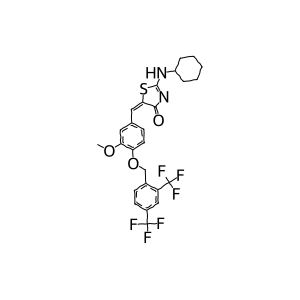 COc1cc(C=C2SC(NC3CCCCC3)=NC2=O)ccc1OCc1ccc(C(F)(F)F)cc1C(F)(F)F